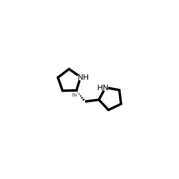 C1CNC(C[C@@H]2CCCN2)C1